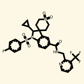 O=C(NCc1ncccc1C(F)(F)F)c1ccc2c(c1)C1(CCS(=O)(=O)CC1)C(C1CC1)N2S(=O)(=O)c1ccc(F)cc1